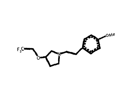 COc1ccc(CCN2CCC(OCC(F)(F)F)C2)cc1